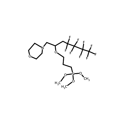 CO[Si](CCCOC(CN1CCOCC1)CC(F)(F)C(F)(F)C(F)(F)C(F)(F)F)(OC)OC